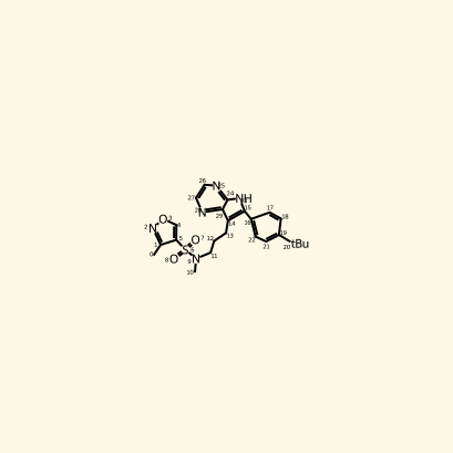 Cc1nocc1S(=O)(=O)N(C)CCCc1c(-c2ccc(C(C)(C)C)cc2)[nH]c2nccnc12